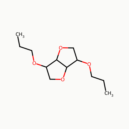 CCCOC1COC2C(OCCC)COC12